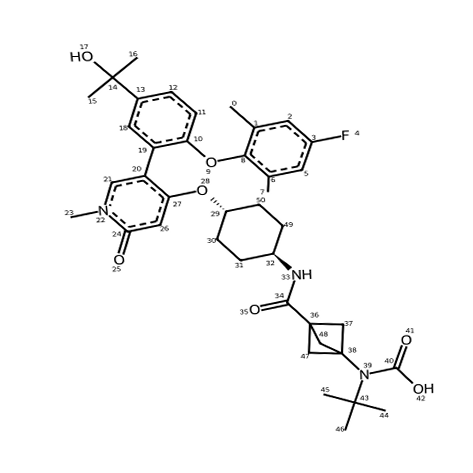 Cc1cc(F)cc(C)c1Oc1ccc(C(C)(C)O)cc1-c1cn(C)c(=O)cc1O[C@H]1CC[C@H](NC(=O)C23CC(N(C(=O)O)C(C)(C)C)(C2)C3)CC1